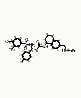 CCCNCc1ccc2c(c1)CCC[C@H]2NC(=O)C[C@@H](NS(=O)(=O)c1ccc(Cl)c(Cl)c1)c1ccc(F)cc1